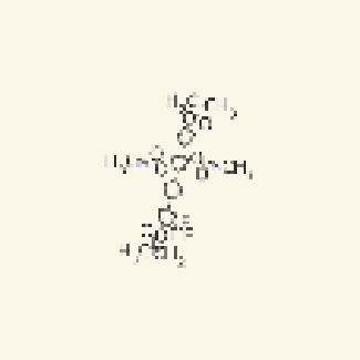 C=C(C)C(=O)Oc1ccc(-c2cc(OC(=O)/C=C/C)c(-c3ccc(-c4ccc(OC(=O)C(=C)C)c(C(F)(F)F)c4)cc3)cc2OC(=O)/C=C/C)cc1